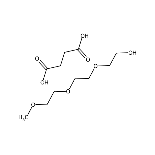 COCCOCCOCCO.O=C(O)CCC(=O)O